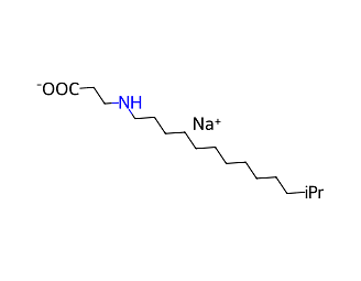 CC(C)CCCCCCCCCCCNCCC(=O)[O-].[Na+]